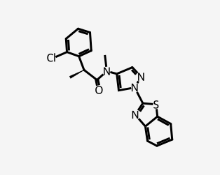 C[C@H](C(=O)N(C)c1cnn(-c2nc3ccccc3s2)c1)c1ccccc1Cl